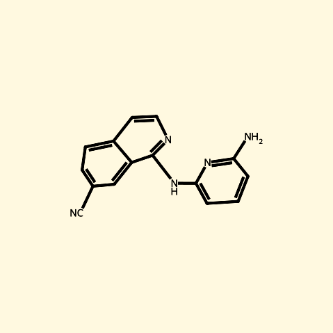 N#Cc1ccc2ccnc(Nc3cccc(N)n3)c2c1